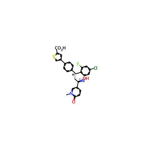 Cn1cc(/C(C[C@H](c2ccc(-c3csc(C(=O)O)c3)cc2)c2ccc(Cl)cc2F)=N/O)ccc1=O